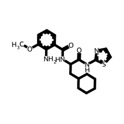 COc1cccc(C(=O)NC(CC2CCCCC2)C(=O)Nc2nccs2)c1N